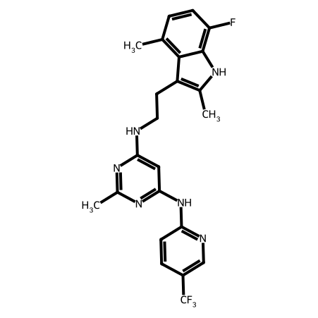 Cc1nc(NCCc2c(C)[nH]c3c(F)ccc(C)c23)cc(Nc2ccc(C(F)(F)F)cn2)n1